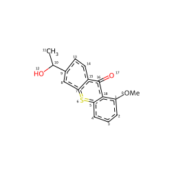 COc1cccc2sc3cc(C(C)O)ccc3c(=O)c12